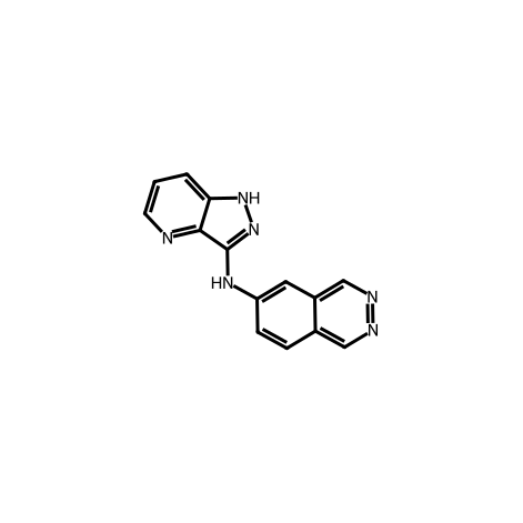 c1cnc2c(Nc3ccc4cnncc4c3)n[nH]c2c1